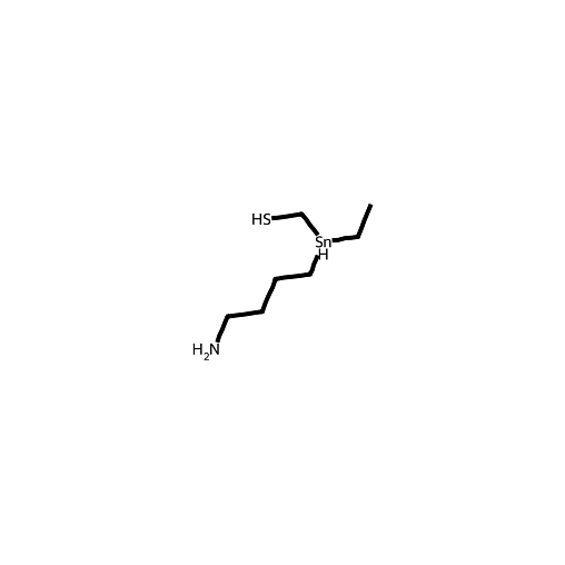 C[CH2][SnH]([CH2]S)[CH2]CCCN